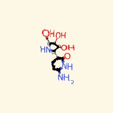 Nc1ccc([C@@H]2N[C@H](CO)[C@@H](O)[C@H]2O)c(=O)[nH]1